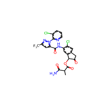 CC(C(N)=O)C(=O)OC1C(=O)Cc2cc(Cl)c(NC(=O)c3cc(C(F)(F)F)nn3-c3ncccc3Cl)cc21